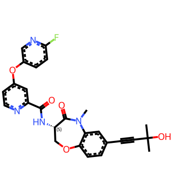 CN1C(=O)[C@@H](NC(=O)c2cc(Oc3ccc(F)nc3)ccn2)COc2ccc(C#CC(C)(C)O)cc21